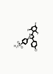 CS(=O)(=O)c1ccc(-n2nc(-c3c(F)cc(F)cc3F)cc2-c2ccc(Cl)cc2)cc1